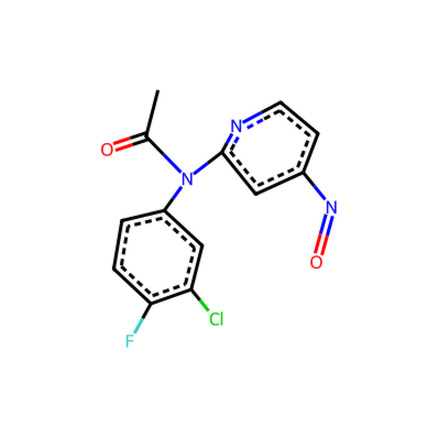 CC(=O)N(c1ccc(F)c(Cl)c1)c1cc(N=O)ccn1